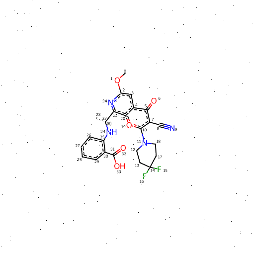 COc1cc2c(=O)c(C#N)c(N3CCC(F)(F)CC3)oc2c([C@@H](C)Nc2ccccc2C(=O)O)n1